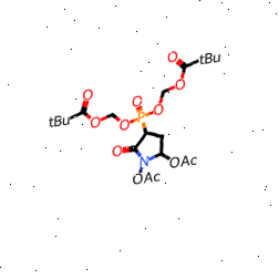 CC(=O)OC1CC(P(=O)(OCOC(=O)C(C)(C)C)OCOC(=O)C(C)(C)C)C(=O)N1OC(C)=O